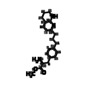 COC(=O)[C@@H](N)Cc1ccc(CCCc2ccc3c(n2)NCCC3)cc1